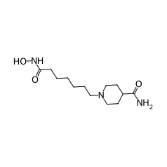 NC(=O)C1CCN(CCCCCCC(=O)NO)CC1